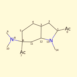 CC(=O)C1CC2CCC(C(C)=O)(N(C)C)CC2N1C